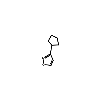 c1cc(C2CCCC2)no1